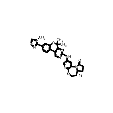 Cn1cnnc1-c1ccc2c(c1)OC(C)(C)c1nc(Nc3cnc4c(c3)N3C(=O)CC[C@H]3CCO4)ncc1-2